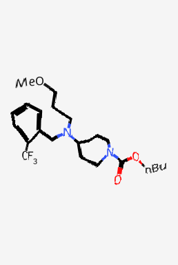 CCCCOC(=O)N1CCC(N(CCCOC)Cc2ccccc2C(F)(F)F)CC1